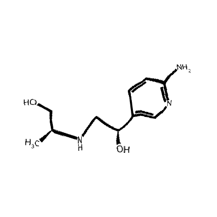 C[C@@H](CO)NC[C@H](O)c1ccc(N)nc1